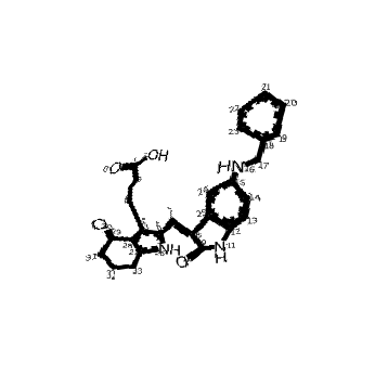 O=C(O)CCc1c(/C=C2\C(=O)Nc3ccc(NCc4ccccc4)cc32)[nH]c2c1C(=O)CCC2